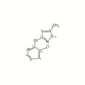 Cc1cc(Oc2ncccc2I)no1